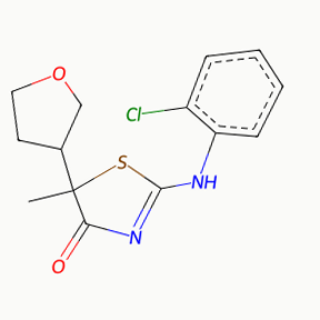 CC1(C2CCOC2)SC(Nc2ccccc2Cl)=NC1=O